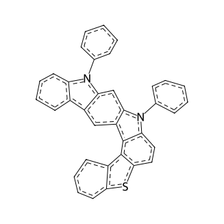 c1ccc(-n2c3ccccc3c3cc4c5c6c(ccc5n(-c5ccccc5)c4cc32)sc2ccccc26)cc1